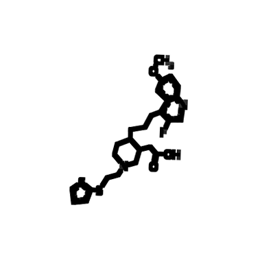 COc1ccc2ncc(F)c(CCCC3CCN(CCSc4cccs4)CC3CC(=O)O)c2c1